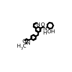 Cc1nc(-c2ccc(Cc3cc(C(=O)N[C@H]4CCCCC[C@@H]4O)c4ncccc4c3)cc2)co1